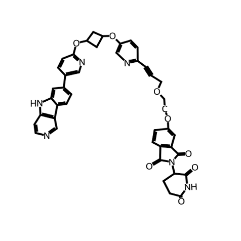 O=C1CCC(N2C(=O)c3ccc(OCCOCC#Cc4ccc(OC5CC(Oc6ccc(-c7ccc8c(c7)[nH]c7ccncc78)cn6)C5)cn4)cc3C2=O)C(=O)N1